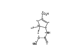 CC(C)(C)OC(=O)NC1C=C(C(=O)O)CC1(F)F